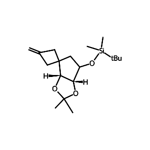 C=C1CC2(C1)CC(O[Si](C)(C)C(C)(C)C)[C@@H]1OC(C)(C)O[C@@H]12